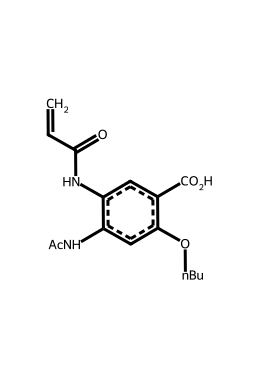 C=CC(=O)Nc1cc(C(=O)O)c(OCCCC)cc1NC(C)=O